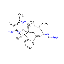 BCC(C)C(/C=C1\C[C@@](CC)(C(/N=C/N)NC(=C)C)C(C)(C)c2ccccc21)=N/C=N